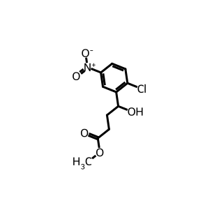 COC(=O)CCC(O)c1cc([N+](=O)[O-])ccc1Cl